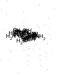 B[P@@]1(=O)OCC2O[C@@H](n3cnc4c(=O)[nH]c(N)nc43)[C@@H](O[P@](B)(=O)OC[C@H]3OC(n4cnc5c(N)ncnc54)[C@@H](O)[C@H]3O1)[C@H]2O